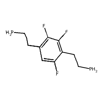 Fc1cc(CCP)c(F)c(F)c1CCP